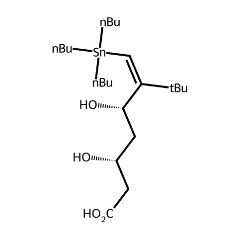 CCC[CH2][Sn]([CH]=C([C@@H](O)C[C@@H](O)CC(=O)O)C(C)(C)C)([CH2]CCC)[CH2]CCC